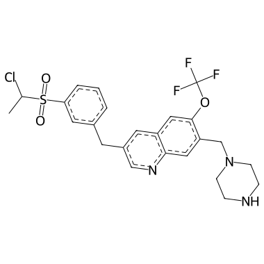 CC(Cl)S(=O)(=O)c1cccc(Cc2cnc3cc(CN4CCNCC4)c(OC(F)(F)F)cc3c2)c1